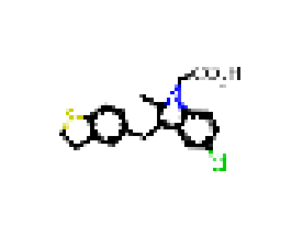 Cc1c(Cc2ccc3c(c2)CCS3)c2cc(Cl)ccc2n1CC(=O)O